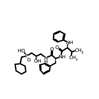 CC(C)[C@H](Nc1ccccc1)C(=O)N[C@@H](Cc1ccccc1)C(=O)NC[C@@H](O)CP(=O)(O)CC1CCCCC1